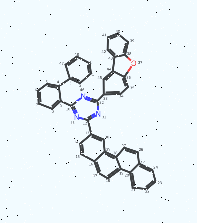 c1ccc(-c2ccccc2-c2nc(-c3ccc4ccc5c6ccccc6ccc5c4c3)nc(-c3ccc4oc5ccccc5c4c3)n2)cc1